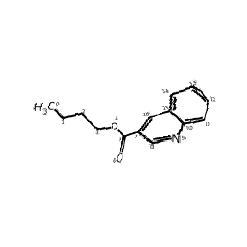 CCCCOC(=O)c1cnc2ccccc2c1